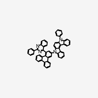 c1ccc(-c2nc(-c3cc(-n4c5ccccc5c5c6c7ccccc7n(-c7ccccc7)c6ccc54)cc4c5ccccc5c5ccccc5c34)c3ccccc3n2)cc1